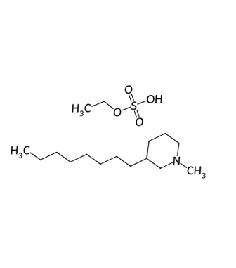 CCCCCCCCC1CCCN(C)C1.CCOS(=O)(=O)O